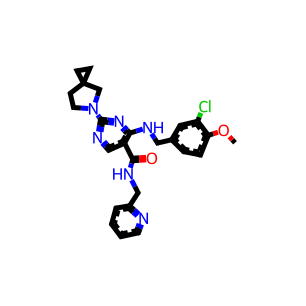 COc1ccc(CNc2nc(N3CCC4(CC4)C3)ncc2C(=O)NCc2ccccn2)cc1Cl